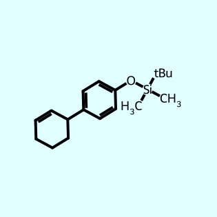 CC(C)(C)[Si](C)(C)Oc1ccc(C2C=CCCC2)cc1